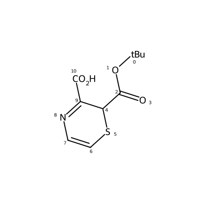 CC(C)(C)OC(=O)C1SC=CN=C1C(=O)O